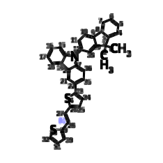 CC1(C)c2ccccc2-c2ccc(-n3c4ccccc4c4cc(-c5ccc(/C=C/c6cccs6)s5)ccc43)cc21